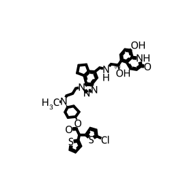 CN(CCCn1nnc2cc(CNC[C@H](O)c3ccc(O)c4[nH]c(=O)ccc34)c3c(c21)CCC3)[C@H]1CC[C@H](OC(=O)C(c2cccs2)c2ccc(Cl)s2)CC1